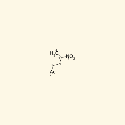 CC(=O)CCC(C)[N+](=O)[O-]